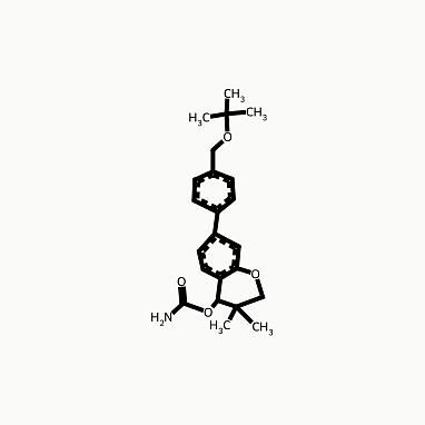 CC(C)(C)OCc1ccc(-c2ccc3c(c2)OCC(C)(C)C3OC(N)=O)cc1